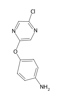 Nc1ccc(Oc2cnc(Cl)cn2)cc1